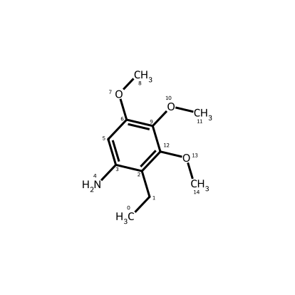 CCc1c(N)cc(OC)c(OC)c1OC